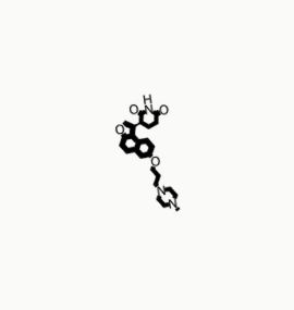 CN1CCN(CCCOc2ccc3c(ccc4occ([C@@H]5CCC(=O)NC5=O)c43)c2)CC1